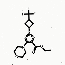 CCOC(=O)c1nc(C2CC(C(F)(F)F)C2)sc1N1CCOCC1